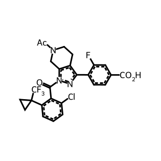 CC(=O)N1CCc2c(-c3ccc(C(=O)O)cc3F)nn(C(=O)c3c(Cl)cccc3C3(C(F)(F)F)CC3)c2C1